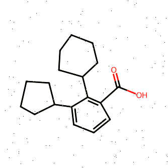 O=C(O)c1cccc(C2CCCC2)c1C1CCCCC1